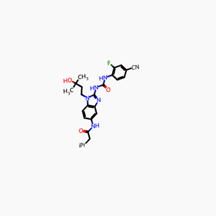 CC(C)CC(=O)Nc1ccc2c(c1)nc(NC(=O)Nc1ccc(C#N)cc1F)n2CCC(C)(C)O